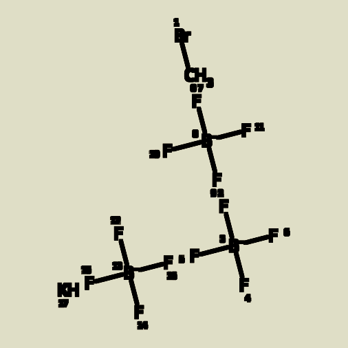 CBr.F[B-](F)(F)F.F[B-](F)(F)F.F[B-](F)(F)F.[KH]